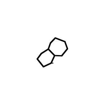 [CH]1CCCC2CCCCCC12